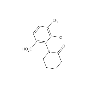 O=C(O)c1ccc(C(F)(F)F)c(Cl)c1N1CCCCC1=O